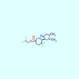 CC1Cc2nn3c(c2CN1C)C(F)(F)CCC(O)(COCC(F)F)C3